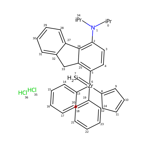 CC(C)N(c1cc[c]([Zr](=[SiH2])([C]2=CC=CC2)([c]2ccccc2)[c]2ccccc2)c2c1-c1ccccc1C2)C(C)C.Cl.Cl